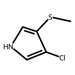 CSc1c[nH]cc1Cl